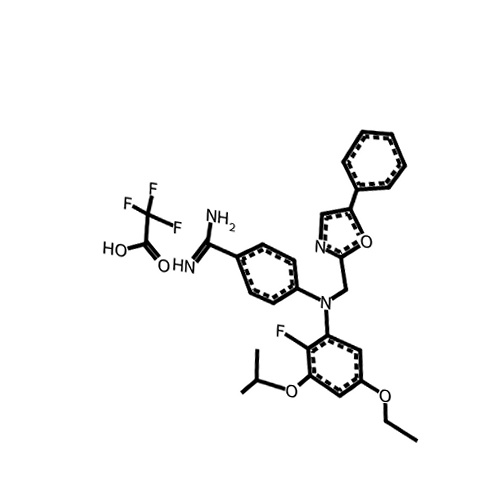 CCOc1cc(OC(C)C)c(F)c(N(Cc2ncc(-c3ccccc3)o2)c2ccc(C(=N)N)cc2)c1.O=C(O)C(F)(F)F